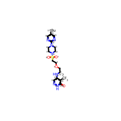 C[C@@H](COCCS(=O)(=O)N1CCN(c2ncc(C(C)(C)C)cn2)CC1)Nc1cn[nH]c(=O)c1C(F)(F)F